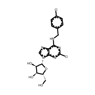 OC[C@H]1O[C@@H](n2cnc3c(NCc4ccc(Cl)cc4)nc(Cl)nc32)[C@H](O)[C@@H]1O